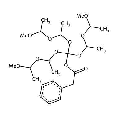 COC(C)OC(C)OC(OC(=O)Cc1ccncc1)(OC(C)OC(C)OC)OC(C)OC(C)OC